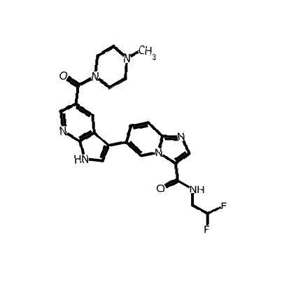 CN1CCN(C(=O)c2cnc3[nH]cc(-c4ccc5ncc(C(=O)NCC(F)F)n5c4)c3c2)CC1